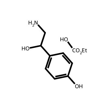 CCOC(=O)O.NCC(O)c1ccc(O)cc1